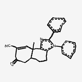 CC12C=C(C#N)C(=O)CC1CCc1c2nc(-c2ccccc2)n1-c1ccccc1